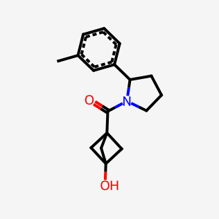 Cc1cccc(C2CCCN2C(=O)C23CC(O)(C2)C3)c1